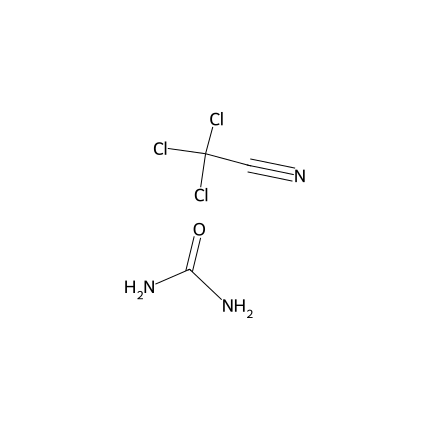 N#CC(Cl)(Cl)Cl.NC(N)=O